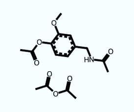 CC(=O)OC(C)=O.COc1cc(CNC(C)=O)ccc1OC(C)=O